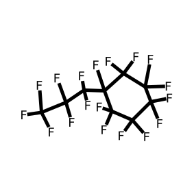 FC(F)(F)C(F)(F)C(F)(F)C1(F)C(F)(F)C(F)(F)C(F)(F)C(F)(F)C1(F)F